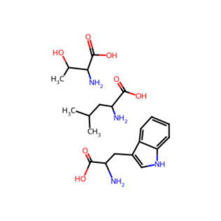 CC(C)CC(N)C(=O)O.CC(O)C(N)C(=O)O.NC(Cc1c[nH]c2ccccc12)C(=O)O